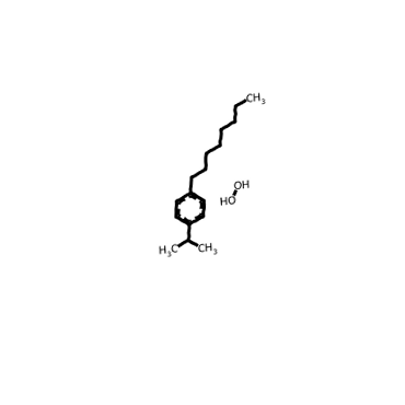 CCCCCCCCc1ccc(C(C)C)cc1.OO